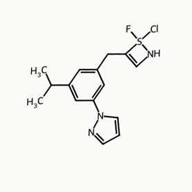 CC(C)c1cc(CC2=CNS2(F)Cl)cc(-n2cccn2)c1